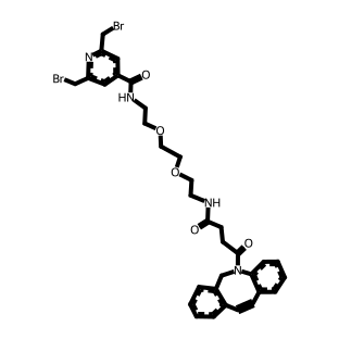 O=C(CCC(=O)N1Cc2ccccc2C#Cc2ccccc21)NCCOCCOCCNC(=O)c1cc(CBr)nc(CBr)c1